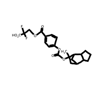 CC1(OC(=O)Oc2ccc(C(=O)OCC(F)(F)C(=O)O)cc2)CC2CC1C1CCCC21